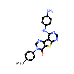 COc1ccc(-n2cnc3c(sc4ncnc(Nc5ccc(N)cc5)c43)c2=O)cc1